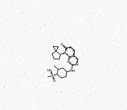 CC1CC(Nc2ncc3ccc(=O)n([C@H]4CCCC45CC5)c3n2)CCN1S(C)(=N)=O